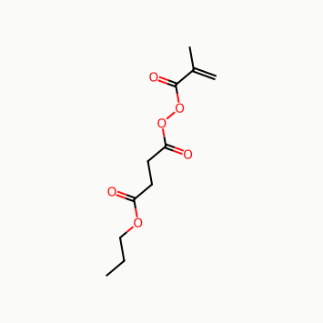 C=C(C)C(=O)OOC(=O)CCC(=O)OCCC